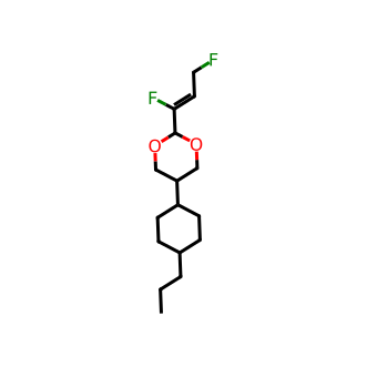 CCCC1CCC(C2COC(/C(F)=C/CF)OC2)CC1